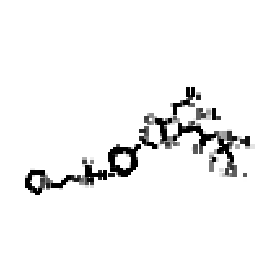 CCN1C(=O)[C@@H](CNc2ccc(NC(=O)NCCN3CCCC3)cc2)SC1[C@H](N)C(=O)NC(C)(C)CC